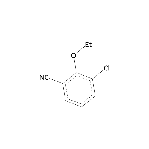 CCOc1c(Cl)cccc1C#N